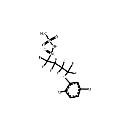 CS(=O)(=O)NS(=O)(=O)C(F)(F)C(F)(F)C(F)(F)C(F)(F)Sc1cc(Cl)ccc1Cl